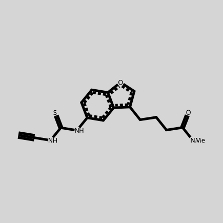 C#CNC(=S)Nc1ccc2occ(CCCC(=O)NC)c2c1